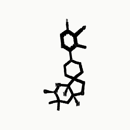 Cn1c(N2CCC3(CC2)CO[C@H]2CC(C)(C)[S@@+]([O-])N[C@H]23)ncc(I)c1=O